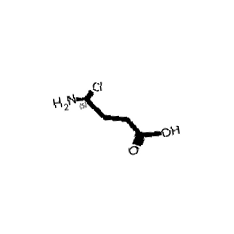 N[C@@H](Cl)CCC(=O)O